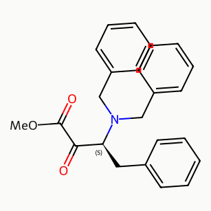 COC(=O)C(=O)[C@H](Cc1ccccc1)N(Cc1ccccc1)Cc1ccccc1